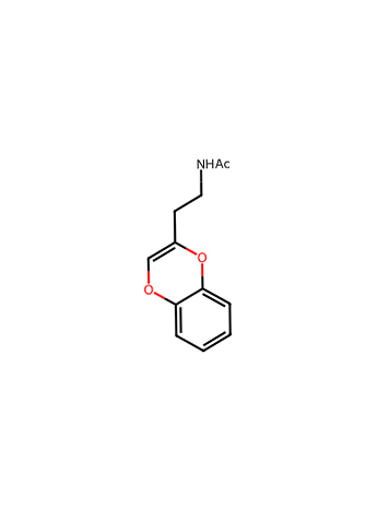 CC(=O)NCCC1=COc2ccccc2O1